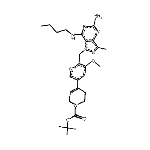 CCCCNc1nc(N)nc2c(C)nn(Cc3ncc(C4=CCN(C(=O)OC(C)(C)C)CC4)cc3OC)c12